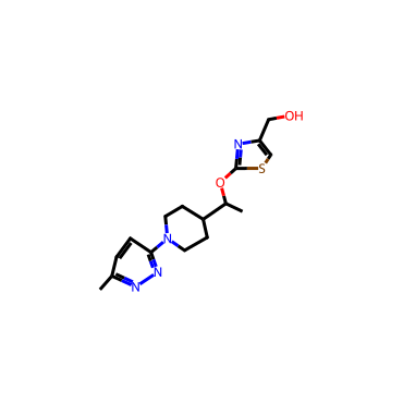 Cc1ccc(N2CCC(C(C)Oc3nc(CO)cs3)CC2)nn1